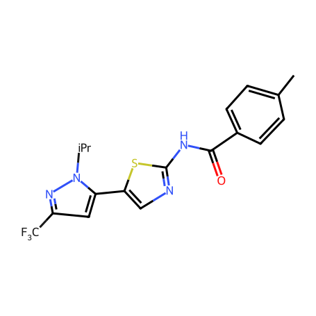 Cc1ccc(C(=O)Nc2ncc(-c3cc(C(F)(F)F)nn3C(C)C)s2)cc1